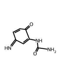 N=C1C=CC(=O)C(NC(N)=O)=C1